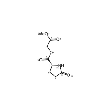 COC(=O)COC(=O)[C@@H]1CCC(=O)N1